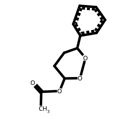 CC(=O)OC1CCC(c2ccccc2)OO1